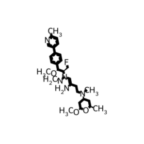 C=NN(/C=C(\N)CCN(C)[C@@H]1C[C@H](OC)O[C@H](C)C1)[C@H](CF)[C@H](OC)c1ccc(-c2ccc(C)nc2)cc1